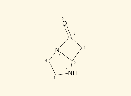 O=C1CC2NCCN12